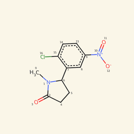 CN1C(=O)CCC1c1cc([N+](=O)[O-])ccc1Cl